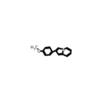 COc1ccc(-c2cc3ccccn3c2)cc1